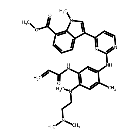 C=CC(=O)Nc1cc(Nc2nccc(-c3cn(C)c4c(C(=O)OC)cccc34)n2)c(C)cc1N(C)CCN(C)C